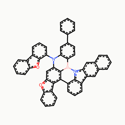 c1ccc(-c2ccc3c(c2)N(c2cccc4c2oc2ccccc24)c2cc4oc5ccccc5c4c4c2B3n2c3cc5ccccc5cc3c3cccc-4c32)cc1